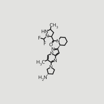 Cc1cn2nc([C@@H]3CCCCN3C(=O)C3CC(C)NN3C(F)F)cc2nc1N1CC[C@H](N)C1